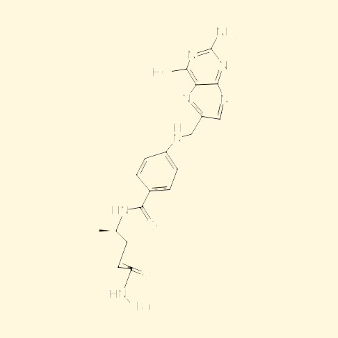 C[C@H](CCC(=O)NC(C)(C)C)NC(=O)c1ccc(NCc2cnc3nc(N)nc(O)c3n2)cc1